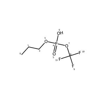 CCCOP(=O)(O)OC(F)(F)F